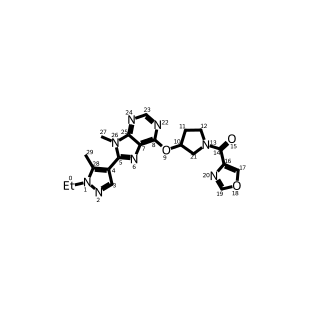 CCn1ncc(-c2nc3c(OC4CCN(C(=O)c5cocn5)C4)ncnc3n2C)c1C